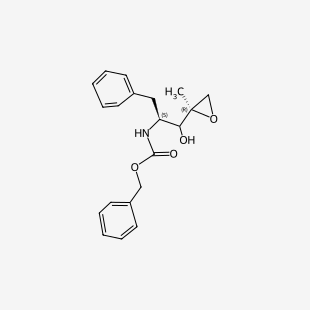 C[C@]1(C(O)[C@H](Cc2ccccc2)NC(=O)OCc2ccccc2)CO1